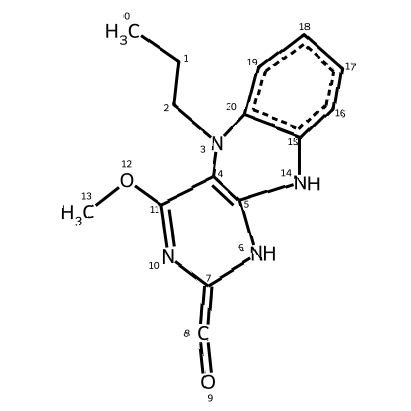 CCCN1C2=C(NC(=C=O)N=C2OC)Nc2ccccc21